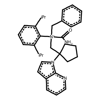 CC(C)c1cccc(C(C)C)c1[N+](Cc1ccccc1)(CC1(n2ccc3cccnc32)CCCC1)C(N)=O